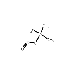 C[Si](C)(C)[O][Sb]=[O]